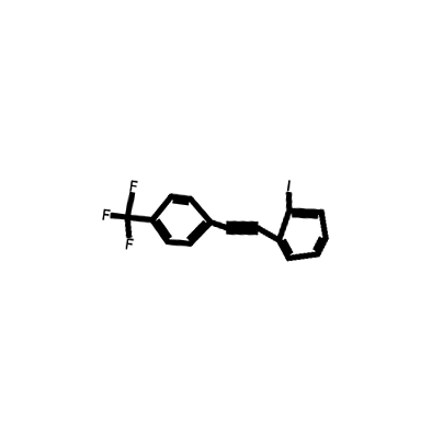 FC(F)(F)c1ccc(C#Cc2ccccc2I)cc1